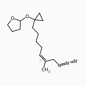 C/C(=C/CCCCC1(OC2CCCO2)CC1)CN=[N+]=[N-]